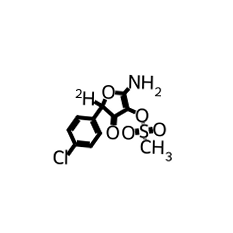 [2H]C1(c2ccc(Cl)cc2)OC(N)=C(OS(C)(=O)=O)C1=O